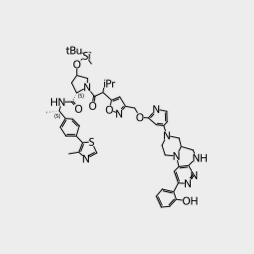 Cc1ncsc1-c1ccc([C@H](C)NC(=O)[C@@H]2CC(O[Si](C)(C)C(C)(C)C)CN2C(=O)C(c2cc(COc3cc(N4CCN5c6cc(-c7ccccc7O)nnc6NCC5C4)ccn3)no2)C(C)C)cc1